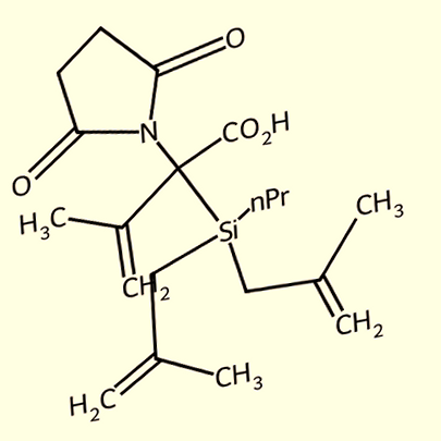 C=C(C)C[Si](CCC)(CC(=C)C)C(C(=C)C)(C(=O)O)N1C(=O)CCC1=O